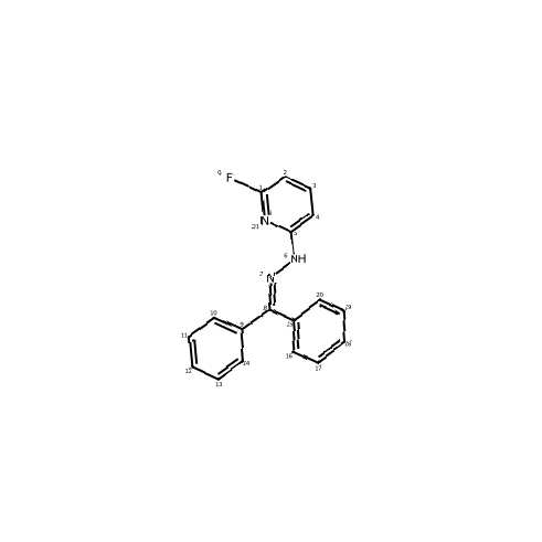 Fc1cccc(NN=C(c2ccccc2)c2ccccc2)n1